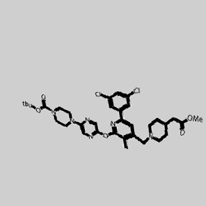 COC(=O)CC1CCN(Cc2cc(-c3cc(Cl)cc(Cl)c3)nc(Oc3cnc(N4CCN(C(=O)OC(C)(C)C)CC4)cn3)c2C)CC1